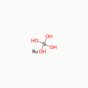 O[Si](O)(O)O.[Ru]